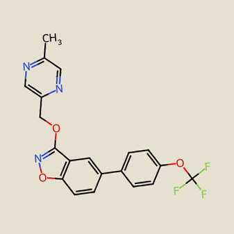 Cc1cnc(COc2noc3ccc(-c4ccc(OC(F)(F)F)cc4)cc23)cn1